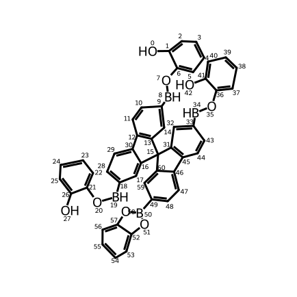 Oc1ccccc1OBc1ccc2c(c1)C1(c3cc(BOc4ccccc4O)ccc3-2)c2cc(BOc3ccccc3O)ccc2-c2ccc(B3Oc4ccccc4O3)cc21